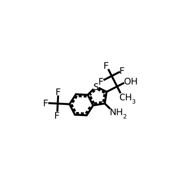 CC(O)(c1sc2cc(C(F)(F)F)ccc2c1N)C(F)(F)F